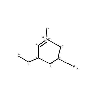 CCC1C=[N+](C)CC(F)C1